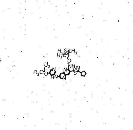 CC(C)Oc1cncc(Nc2cnc3cc(-c4nnc(C5CCCC5)s4)c(NCOCC[Si](C)(C)C)nc3c2)c1